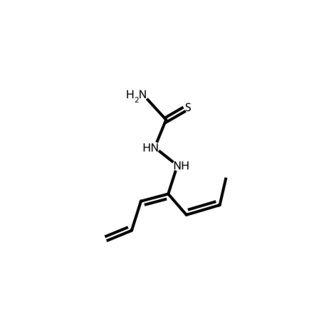 C=C/C=C(\C=C/C)NNC(N)=S